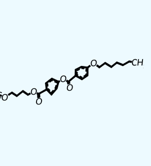 CCCCCCCOc1ccc(C(=O)Oc2ccc(C(=O)OCCCCOC)cc2)cc1